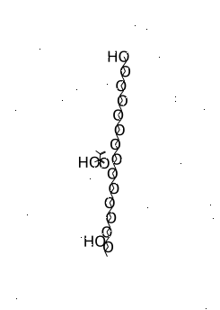 C=C(C)C(=O)O.CCOC(O)COCCOCCOCCOCCOCCOCCOCCOCCOCCOCCOCCOCCO